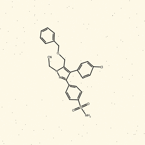 N#CCn1nc(-c2ccc(S(N)(=O)=O)cc2)c(-c2ccc(Cl)cc2)c1COCc1ccccc1